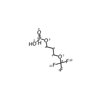 O=[PH](O)OCCCOC(F)(F)F